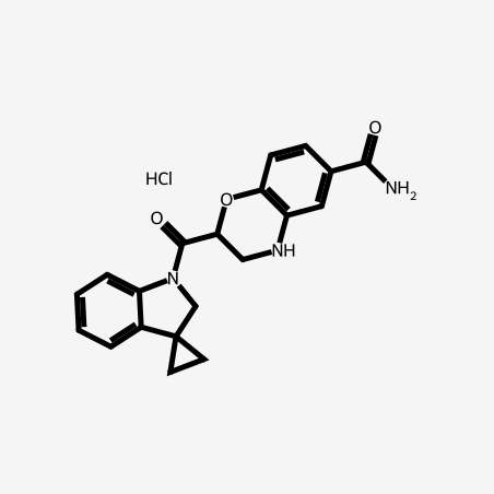 Cl.NC(=O)c1ccc2c(c1)NCC(C(=O)N1CC3(CC3)c3ccccc31)O2